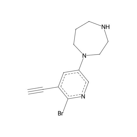 C#Cc1cc(N2CCCNCC2)cnc1Br